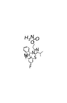 CC(C)c1nc(CCOC(N)=O)n(Cc2ccccc2N)c1Sc1cc(F)cc(F)c1